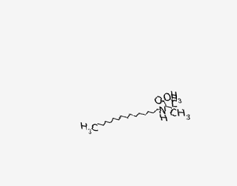 CCCCCCCCCCCCCCCCNC(C(=O)O)C(C)C